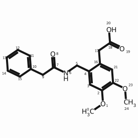 COc1cc(CNC(=O)Cc2ccccc2)c(CC(=O)O)cc1OC